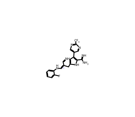 N=C/C(=C\Nc1ccccc1F)Cc1cc(-c2cnc(C(F)(F)F)nc2)c(C(=N)N)[nH]1